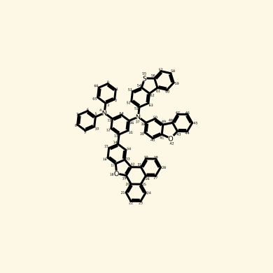 c1ccc(N(c2ccccc2)c2cc(-c3ccc4oc5c6ccccc6c6ccccc6c5c4c3)cc(N(c3ccc4oc5ccccc5c4c3)c3ccc4sc5ccccc5c4c3)c2)cc1